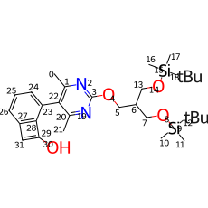 Cc1nc(OCC(CO[Si](C)(C)C(C)(C)C)CO[Si](C)(C)C(C)(C)C)nc(C)c1-c1cccc2c1C(O)=C2